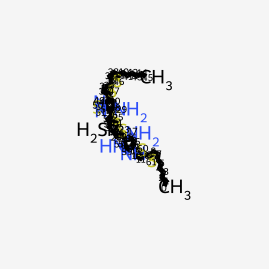 CCCCCCc1ccc(-c2ccc(C3=CC(N)=C(c4cc5c(s4)-c4sc(-c6c(N)cc(-c7ccc(-c8ccc(CCCCCC)s8)s7)c7nsnc67)cc4[SiH2]5)C(=N)C3=N)s2)s1